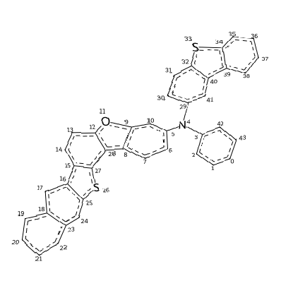 c1ccc(N(c2ccc3c(c2)oc2ccc4c5cc6ccccc6cc5sc4c23)c2ccc3sc4ccccc4c3c2)cc1